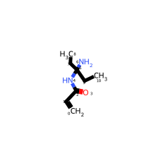 C=CC(=O)NC(N)(CC)CC